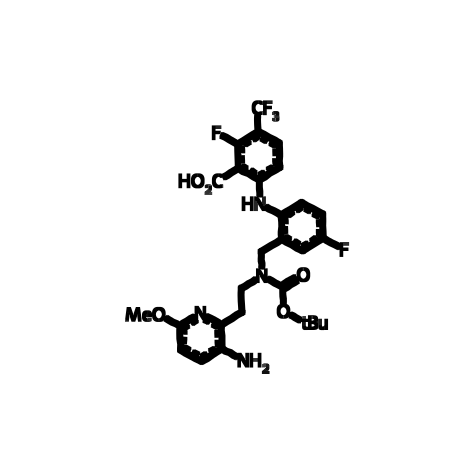 COc1ccc(N)c(CCN(Cc2cc(F)ccc2Nc2ccc(C(F)(F)F)c(F)c2C(=O)O)C(=O)OC(C)(C)C)n1